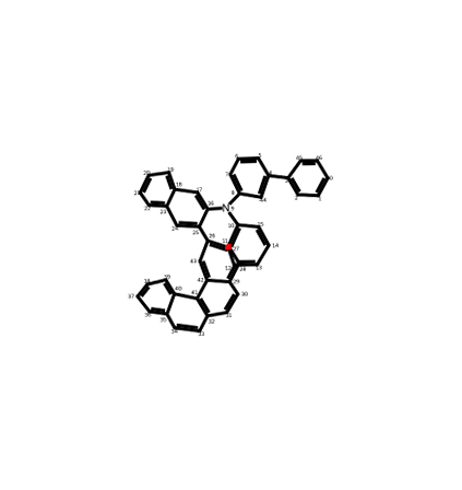 c1ccc(-c2cccc(N(c3ccccc3)c3cc4ccccc4cc3-c3ccc4ccc5ccc6ccccc6c5c4c3)c2)cc1